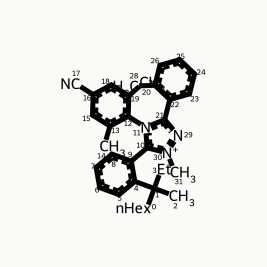 CCCCCCC(C)(CC)c1ccccc1-c1n(-c2c(C)cc(C#N)cc2C)c(-c2ccccc2C)n[n+]1C